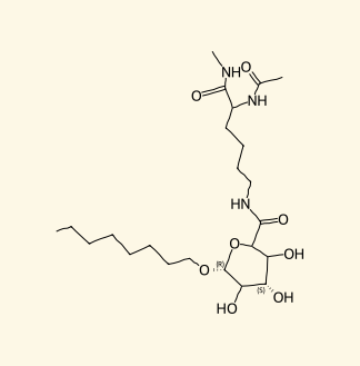 CCCCCCCCO[C@@H]1OC(C(=O)NCCCCC(NC(C)=O)C(=O)NC)C(O)[C@H](O)C1O